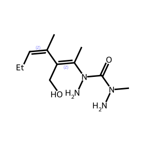 CC/C=C(C)\C(CO)=C(/C)N(N)C(=O)N(C)N